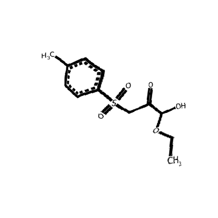 CCOC(O)C(=O)CS(=O)(=O)c1ccc(C)cc1